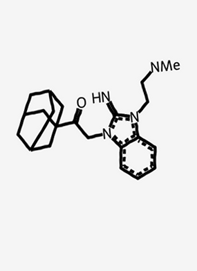 CNCCn1c(=N)n(CC(=O)C23CC4CC(CC(C4)C2)C3)c2ccccc21